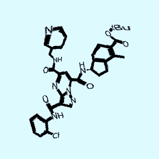 Cc1c(C(=O)OC(C)(C)C)ccc2c1CC[C@@H]2NC(=O)c1cc(C(=O)NCc2cccnc2)nc2c(C(=O)Nc3ccccc3Cl)cnn12